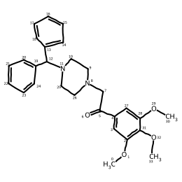 COc1cc(C(=O)CN2CCN(C(c3ccccc3)c3ccccc3)CC2)cc(OC)c1OC